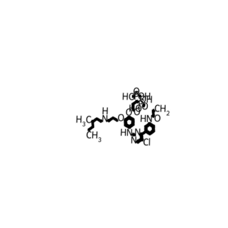 C=CC(=O)Nc1cccc(-c2nc(Nc3ccc(OC(=O)CC(P(=O)(O)O)P(=O)(O)O)c(OCCCNCCC(C)CCC)c3)ncc2Cl)c1